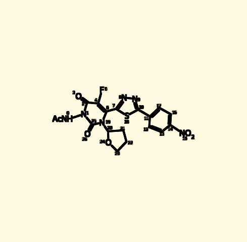 CC(=O)Nn1c(=O)c(F)c(-c2nnc(-c3ccc([N+](=O)[O-])cc3)s2)n(C2CCCO2)c1=O